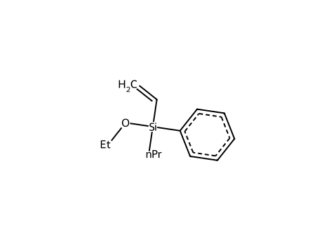 C=C[Si](CCC)(OCC)c1ccccc1